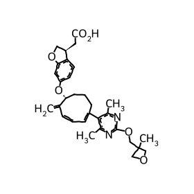 C=C1/C=C\C=C(\c2c(C)nc(OCC3(C)COC3)nc2C)CCC[C@H]1Oc1ccc2c(c1)OC[C@H]2CC(=O)O